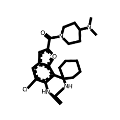 C=C1Nc2c(Cl)cc3cc(C(=O)N4CCC(N(C)C)CC4)oc3c2C2(CCCCC2)N1